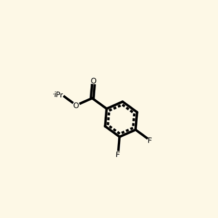 C[C](C)OC(=O)c1ccc(F)c(F)c1